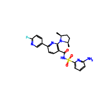 C[C@@H]1CC[C@H](C)N1c1nc(-c2ccc(F)nc2)ccc1C(=O)NS(=O)(=O)c1cccc(N)n1